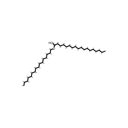 CCCCCCCCCCCCCCCCCC(O)OCCCCCCCCCCCCCCCC